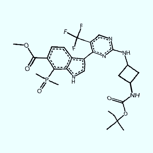 COC(=O)c1ccc2c(-c3nc(NC4CC(NC(=O)OC(C)(C)C)C4)ncc3C(F)(F)F)c[nH]c2c1P(C)(C)=O